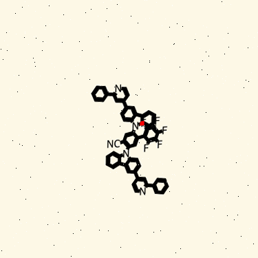 N#Cc1cc(-n2c3ccccc3c3cc(-c4ccnc(-c5ccccc5)c4)ccc32)c(-c2c(F)c(F)c(F)c(F)c2F)cc1-n1c2ccccc2c2cc(-c3ccnc(-c4ccccc4)c3)ccc21